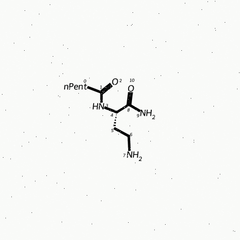 CCCCCC(=O)N[C@@H](CCN)C(N)=O